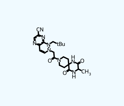 CC1NC(=O)C2(CCN(C(=O)CN3C=Cc4ncc(C#N)nc4N3CC(C)(C)C)CC2)NC1=O